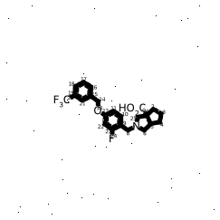 O=C(O)C12CCCC1CN(Cc1ccc(OCc3cccc(C(F)(F)F)c3)cc1F)C2